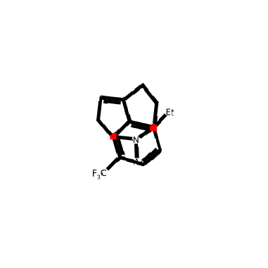 CCc1ccc(C(F)(F)F)cc1/C1=C\CCN(C(C)=O)CCC1